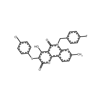 Cc1ccc2c3oc(=O)c(Sc4ccc(Cl)cc4)c(O)c3c(=O)n(Cc3ccc(F)cc3)c2n1